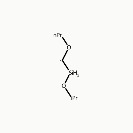 CCCO[CH][SiH2]OC(C)C